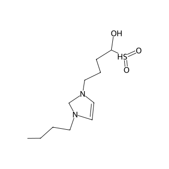 CCCCN1C=CN(CCCC(O)[SH](=O)=O)C1